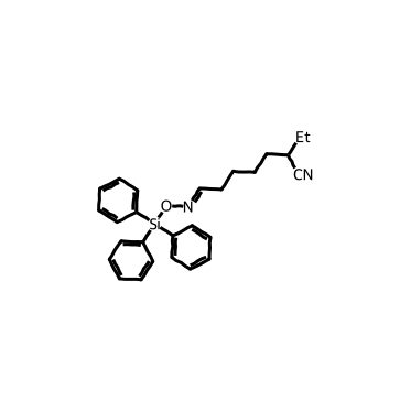 CCC(C#N)CCCCC=NO[Si](c1ccccc1)(c1ccccc1)c1ccccc1